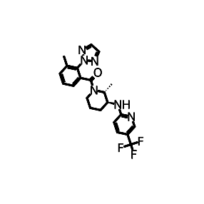 Cc1cccc(C(=O)N2CCC[C@H](Nc3ccc(C(F)(F)F)cn3)[C@H]2C)c1-n1nccn1